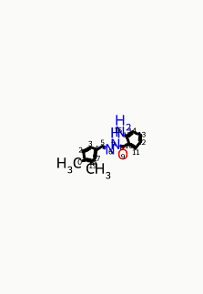 Cc1ccc(C=NNC(=O)c2ccccc2N)cc1C